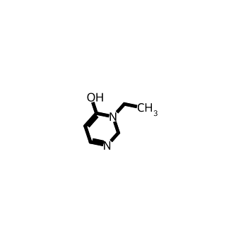 CCN1CN=CC=C1O